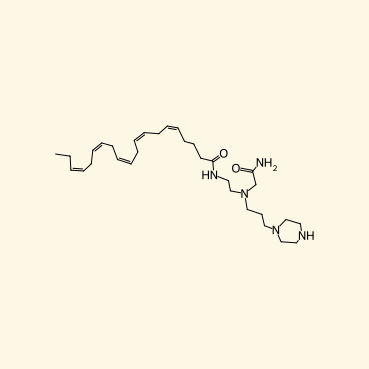 CC/C=C\C/C=C\C/C=C\C/C=C\C/C=C\CCCC(=O)NCCN(CCCN1CCNCC1)CC(N)=O